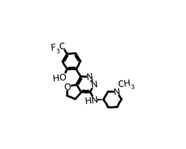 CN1CCC[C@@H](Nc2nnc(-c3ccc(C(F)(F)F)cc3O)c3c2CCO3)C1